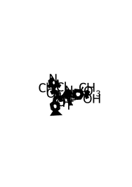 C[C@@H]1C[C@@H](n2ncc(C(=O)N(CC(=O)c3c(Cl)cncc3Cl)CC3CCC4(CC3)CC4)c2C(F)(F)F)CC[C@@H]1C(=O)O